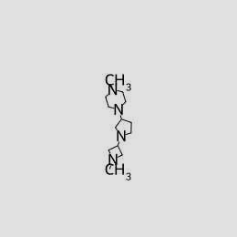 CN1CCN(C2CCN(C3CN(C)C3)C2)CC1